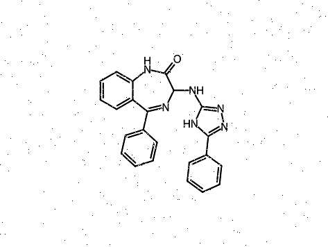 O=C1Nc2ccccc2C(c2ccccc2)=NC1Nc1nnc(-c2ccccc2)[nH]1